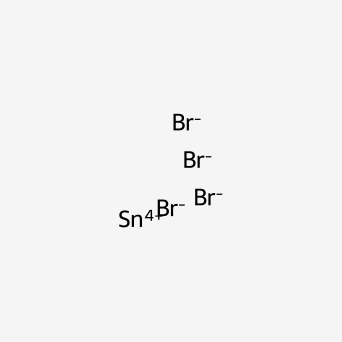 [Br-].[Br-].[Br-].[Br-].[Sn+4]